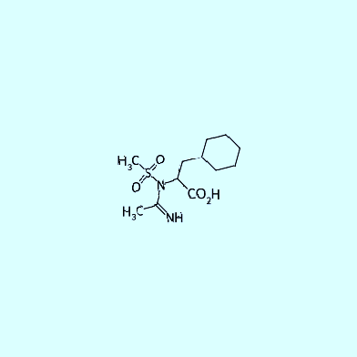 CC(=N)N(C(CC1CCCCC1)C(=O)O)S(C)(=O)=O